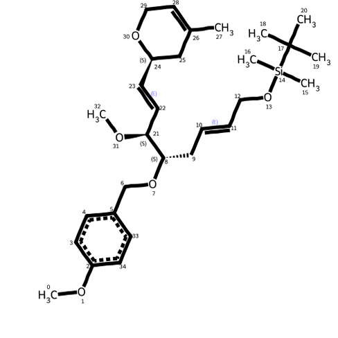 COc1ccc(CO[C@@H](C/C=C/CO[Si](C)(C)C(C)(C)C)[C@H](/C=C/[C@@H]2CC(C)=CCO2)OC)cc1